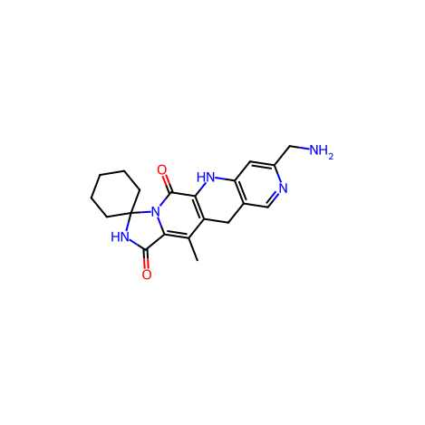 Cc1c2c(c(=O)n3c1C(=O)NC31CCCCC1)Nc1cc(CN)ncc1C2